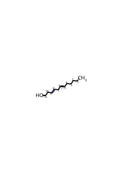 CCCCC/C=C/C/C=C/CCO